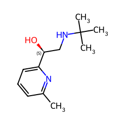 Cc1cccc([C@@H](O)CNC(C)(C)C)n1